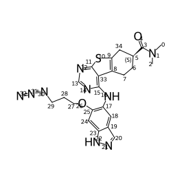 CN(C)C(=O)[C@H]1CCc2c(sc3ncnc(Nc4cc5cn[nH]c5cc4OCCCN=[N+]=[N-])c23)C1